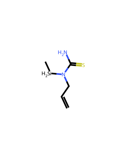 C=CCN([SiH2]C)C(N)=S